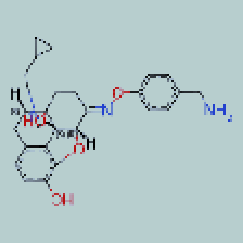 NCc1ccc(ON=C2CCC3(O)[C@H]4Cc5ccc(O)c6c5[C@@]3(CCN4CC3CC3)[C@H]2O6)cc1